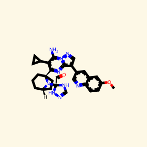 COc1ccc2ncc(-c3cnn4c(N)c(C5CC5)c([C@@]56CCC[C@@H](CC5)N6[C@]5(C=O)NC=NN5)nc34)cc2c1